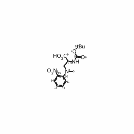 CN(CC(NC(=O)OC(C)(C)C)C(=O)O)c1ccccc1[N+](=O)[O-]